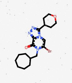 O=c1c2nnc(C3CCOCC3)n2cc(Br)n1CC1CCCCCC1